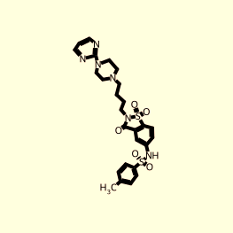 Cc1ccc(S(=O)(=O)Nc2ccc3c(c2)C(=O)N(CCCCN2CCN(c4ncccn4)CC2)S3(=O)=O)cc1